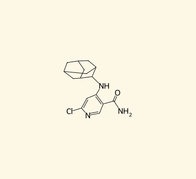 NC(=O)c1cnc(Cl)cc1NC1C2CC3CC(C2)CC1C3